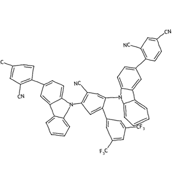 N#Cc1ccc(-c2ccc3c(c2)c2ccccc2n3-c2cc(-c3cc(C(F)(F)F)cc(C(F)(F)F)c3)c(-n3c4ccccc4c4cc(-c5ccc(C#N)cc5C#N)ccc43)cc2C#N)c(C#N)c1